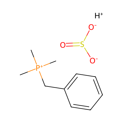 C[P+](C)(C)Cc1ccccc1.O=S([O-])[O-].[H+]